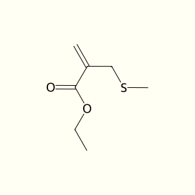 C=C(CSC)C(=O)OCC